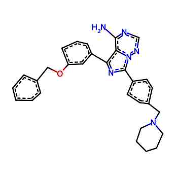 Nc1ncnn2c(-c3ccc(CN4CCCCC4)cc3)nc(-c3cccc(OCc4ccccc4)c3)c12